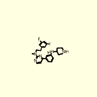 CN(CCc1cc(F)cc(F)c1)c1nccc(-c2cccc(NC3CCNCC3)c2)n1